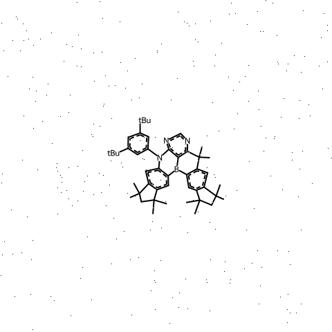 CC(C)(C)c1cc(N2c3cc4c(cc3B3c5cc6c(cc5C(C)(C)c5ncnc2c53)C(C)(C)CC6(C)C)C(C)(C)CC4(C)C)cc(C(C)(C)C)c1